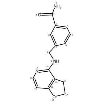 NC(=O)c1cccc(CNc2nccc3c2CCO3)c1